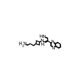 N=C/C(=C\NC1CC(CCCN)C1)c1cnc2ccccc2n1